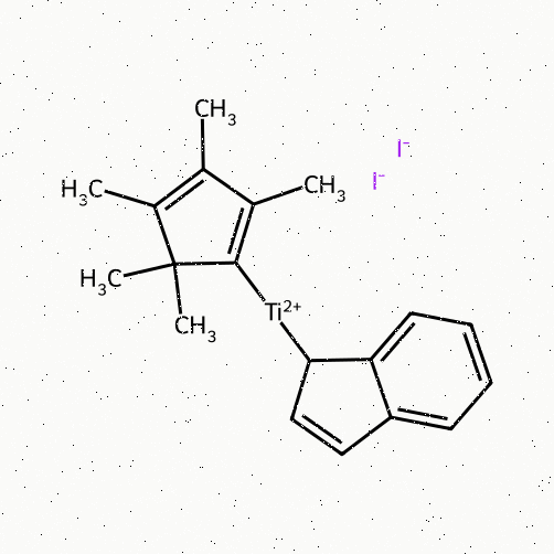 CC1=C(C)C(C)(C)[C]([Ti+2][CH]2C=Cc3ccccc32)=C1C.[I-].[I-]